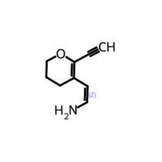 C#CC1=C(/C=C\N)CCCO1